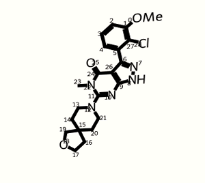 COc1cccc(-c2n[nH]c3nc(N4CCC5(CCOC5)CC4)n(C)c(=O)c23)c1Cl